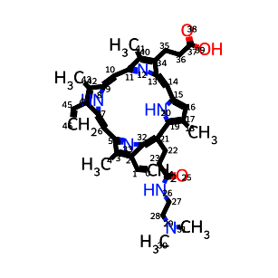 C=CC1=C(C)c2cc3[nH]c(cc4nc(cc5cc(C)c([nH]5)c(CCC(=O)NCCN(C)C)c1n2)C(CCC(=O)O)=C4C)c(C)c3C=C